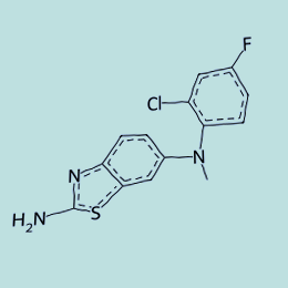 CN(c1ccc2nc(N)sc2c1)c1ccc(F)cc1Cl